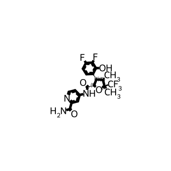 C[C@@H]1[C@@H](c2ccc(F)c(F)c2O)[C@@H](C(=O)Nc2ccnc(C(N)=O)c2)O[C@]1(C)C(F)(F)F